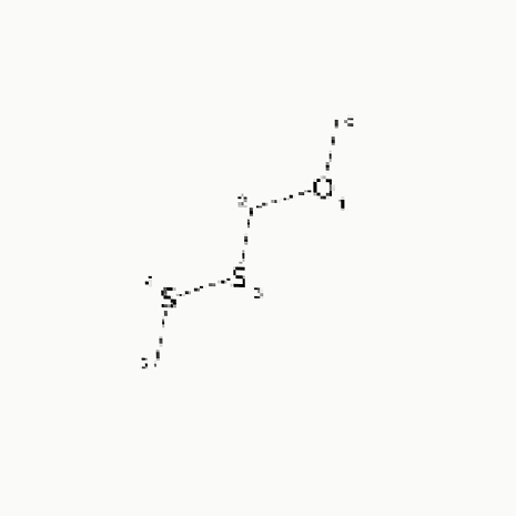 COCSSC